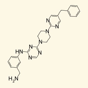 NCc1cccc(Nc2ncnc(N3CCN(c4ncc(Cc5ccccc5)cn4)CC3)n2)c1